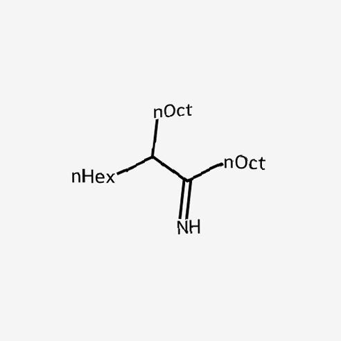 CCCCCCCCC(=N)C(CCCCCC)CCCCCCCC